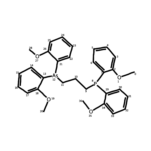 COc1ccccc1P(CCC[As](c1ccccc1OC)c1ccccc1OC)c1ccccc1OC